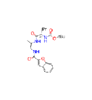 CC(CNC(=O)c1cc2ccccc2o1)NC(=O)[C@@H](NC(=O)OC(C)(C)C)C(C)C